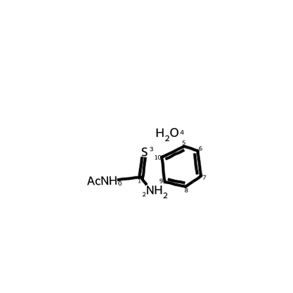 CC(=O)NC(N)=S.O.c1ccccc1